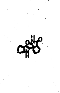 O=C1NC(=O)C2(c3cc4ccccc4[nH]3)C=CCCC12